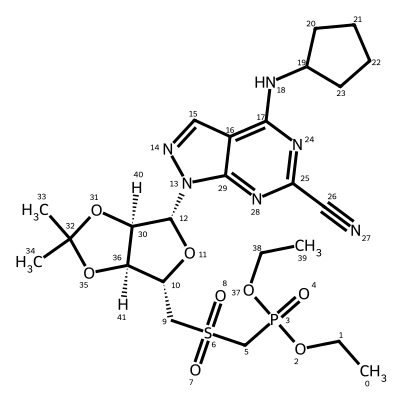 CCOP(=O)(CS(=O)(=O)C[C@H]1O[C@@H](n2ncc3c(NC4CCCC4)nc(C#N)nc32)[C@@H]2OC(C)(C)O[C@@H]21)OCC